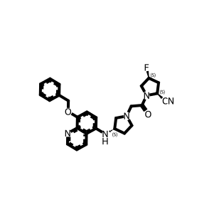 N#C[C@@H]1C[C@H](F)CN1C(=O)CN1CC[C@H](Nc2ccc(OCc3ccccc3)c3ncccc23)C1